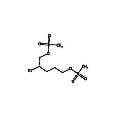 CCC(CCCOS(C)(=O)=O)COS(C)(=O)=O